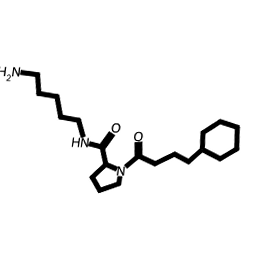 NCCCCCNC(=O)C1CCCN1C(=O)CCCC1CCCCC1